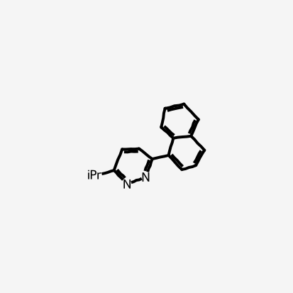 CC(C)c1ccc(-c2cccc3ccccc23)nn1